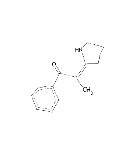 C/C(C(=O)c1ccccc1)=C1\CCCN1